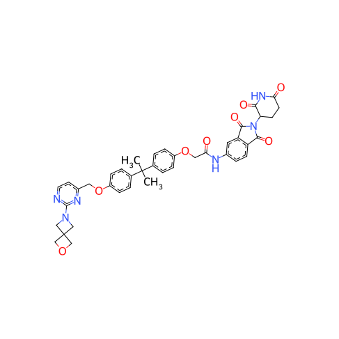 CC(C)(c1ccc(OCC(=O)Nc2ccc3c(c2)C(=O)N(C2CCC(=O)NC2=O)C3=O)cc1)c1ccc(OCc2ccnc(N3CC4(COC4)C3)n2)cc1